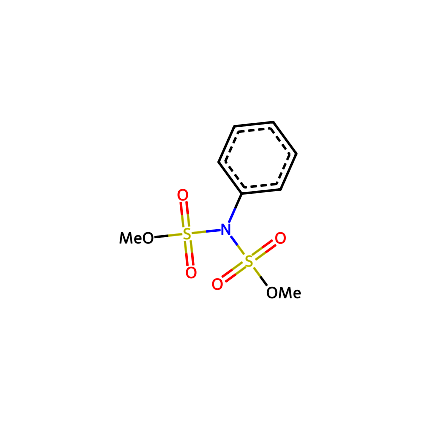 COS(=O)(=O)N(c1ccccc1)S(=O)(=O)OC